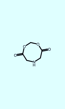 O=C1CNCC(=O)OCO1